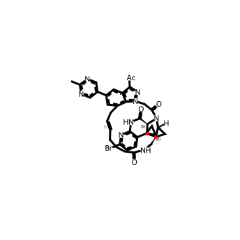 CC(=O)c1nn2c3c(cc(-c4cnc(C)nc4)cc13)C/C=C/CCCC(=O)NC[C@@]13C[C@@H](C(=O)Nc4nc(Br)ccc4C4CC4)N(C(=O)C2)[C@@H]1C3